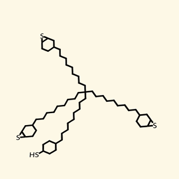 SC1CCC(CCCCCCCCCC(CCCCCCCCCC2CCC3SC3C2)(CCCCCCCCCC2CCC3SC3C2)CCCCCCCCCC2CCC3SC3C2)CC1